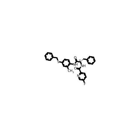 Cc1cc(SCc2ccccc2)ccc1NC(=O)[C@H](Cc1ccccc1)NC(=O)c1ccc(F)cn1